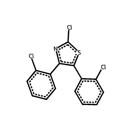 Clc1nc(-c2ccccc2Cl)c(-c2ccccc2Cl)s1